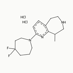 CC1CNCCc2ccc(N3CCCC(F)(F)CC3)nc21.Cl.Cl